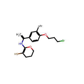 C=C(NC1=C(S)CCCO1)c1ccc(OCCCBr)c(CCC)c1